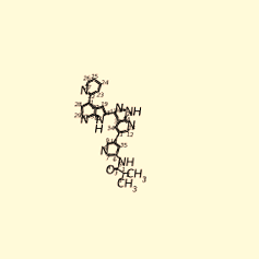 CC(C)C(=O)Nc1cncc(-c2cnc3[nH]nc(-c4cc5c(-c6ccccn6)ccnc5[nH]4)c3c2)c1